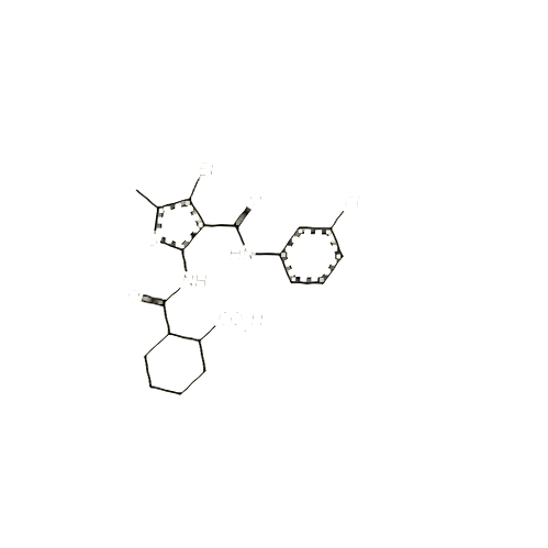 CCc1c(C)sc(NC(=O)C2CCCCC2C(=O)O)c1C(=O)Nc1cccc(Cl)c1